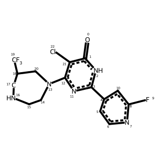 O=c1[nH]c(-c2ccnc(F)c2)nc(N2CCNCC(C(F)(F)F)C2)c1Cl